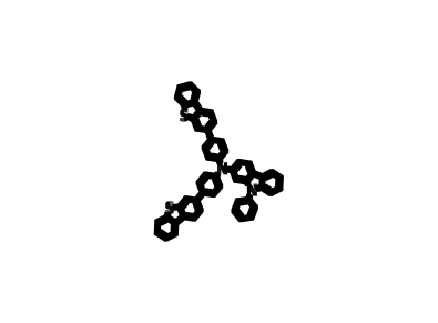 c1ccc(-n2c3ccccc3c3ccc(N(c4ccc(-c5ccc6c(c5)sc5ccccc56)cc4)c4ccc(-c5ccc6c(c5)sc5ccccc56)cc4)cc32)cc1